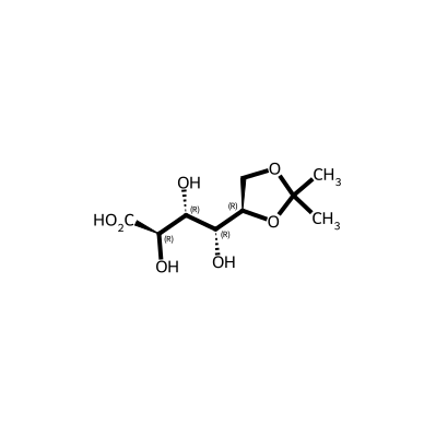 CC1(C)OC[C@H]([C@H](O)[C@@H](O)[C@@H](O)C(=O)O)O1